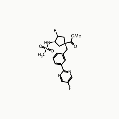 COC(=O)[C@@]1(Cc2cccc(-c3ncc(F)cn3)c2)C[C@H](F)[C@H](NS(C)(=O)=O)C1